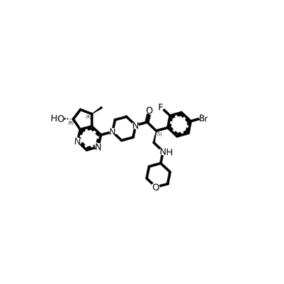 C[C@@H]1C[C@@H](O)c2ncnc(N3CCN(C(=O)[C@H](CNC4CCOCC4)c4ccc(Br)cc4F)CC3)c21